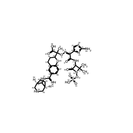 CC(ON=C(C(=O)NC1C(=O)N(OS(=O)(=O)O)C1(C)C)c1csc(N)n1)(C(=O)O)C1CCc2cc(C(=N)NC3[C@@H]4CC[C@H]3CNC4)ccc2O1